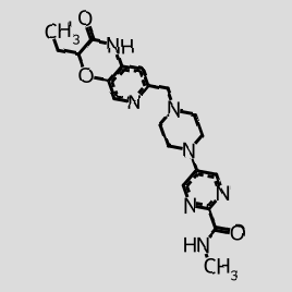 CCC1Oc2cnc(CN3CCN(c4cnc(C(=O)NC)nc4)CC3)cc2NC1=O